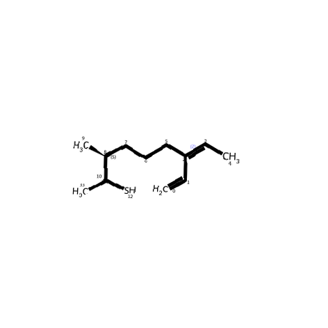 C=C/C(=C\C)CCC[C@H](C)C(C)S